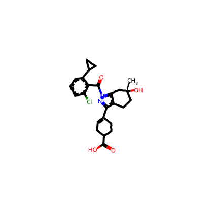 C[C@@]1(O)CCc2c(C3=CCC(C(=O)O)CC3)nn(C(=O)c3c(Cl)cccc3C3CC3)c2C1